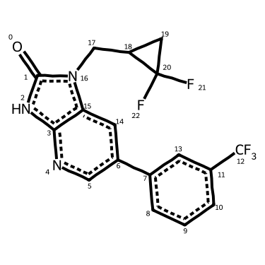 O=c1[nH]c2ncc(-c3cccc(C(F)(F)F)c3)cc2n1CC1CC1(F)F